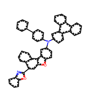 c1ccc(-c2ccc(N(c3ccc4c5ccccc5c5ccccc5c4c3)c3ccc4oc5cc(-c6nc7ccccc7o6)c6ccccc6c5c4c3)cc2)cc1